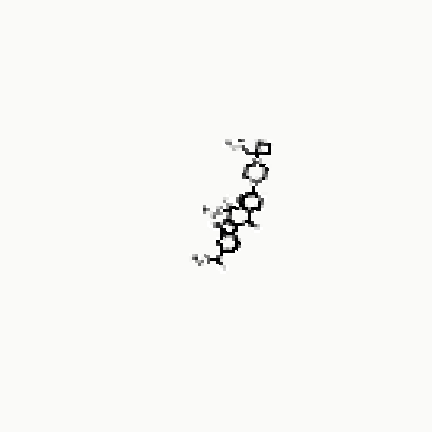 CCC1(N2CCN(c3cc4c(cn3)C(=O)c3c([nH]c5cc(C(N)=O)ccc35)C4(C)C)CC2)CCC1